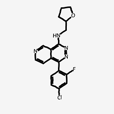 Fc1cc(Cl)ccc1-c1nnc(NCC2CCCO2)c2cnccc12